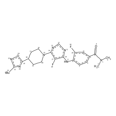 CN(C)C(=O)c1ccc(Nc2ncnc(N3CCC(c4nc(C(C)(C)C)no4)CC3)c2F)c(F)c1